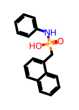 O=P(O)(Cc1cccc2ccccc12)Nc1ccccc1